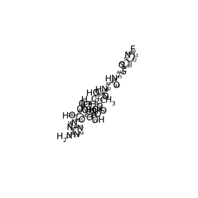 CC(C)(COP(=O)(O)OP(=O)(O)OC[C@H]1O[C@@H](n2cnc3c(N)ncnc32)[C@H](O)[C@@H]1OP(=O)(O)O)C(O)C(=O)NCCC(=O)NCCSC(=O)Cc1ccc(F)nc1